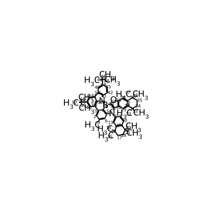 Cc1cc2c3c(c1)N(c1ccc4c(c1)C(C)(C)CCC4(C)C)c1c(oc4cc5c(cc14)C(C)(C)CCC5(C)C)B3n1c3ccc(C(C)(C)C)cc3c3cc(C(C)(C)C)cc-2c31